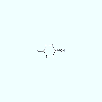 CC1CCN(O)CC1